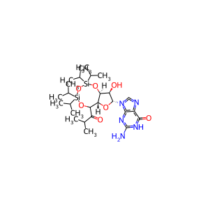 CC(C)C(=O)C1O[Si](C(C)C)(C(C)C)O[Si](C(C)C)(C(C)C)O[C@H]2[C@@H](O)[C@H](n3cnc4c(=O)[nH]c(N)nc43)O[C@H]12